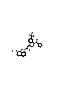 O=C(C=C1CCN(C(=O)C2CCCC2)c2cc(C(F)(F)F)ccc21)Nc1cccc2c1CC(O)CC2